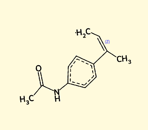 [CH2]/C=C(/C)c1ccc(NC(C)=O)cc1